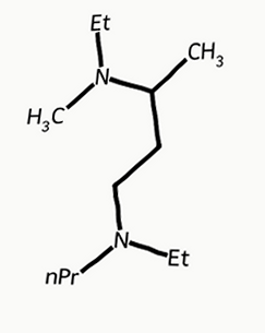 CCCN(CC)CCC(C)N(C)CC